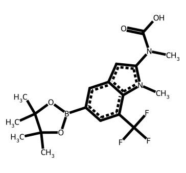 CN(C(=O)O)c1cc2cc(B3OC(C)(C)C(C)(C)O3)cc(C(F)(F)F)c2n1C